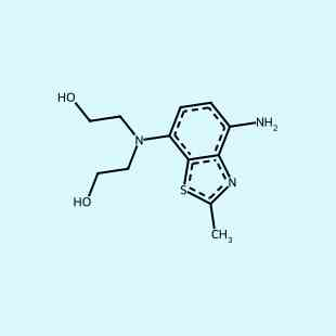 Cc1nc2c(N)ccc(N(CCO)CCO)c2s1